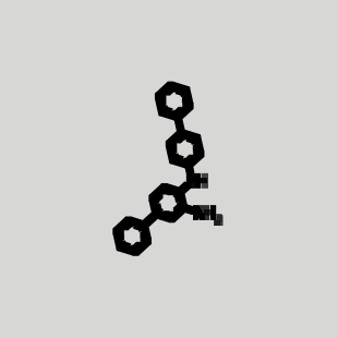 Nc1cc(-c2ccccc2)ccc1Bc1ccc(-c2ccccc2)cc1